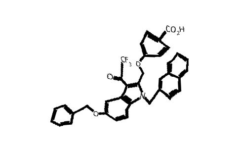 O=C(O)c1ccc(OCc2c(C(=O)C(F)(F)F)c3cc(OCc4ccccc4)ccc3n2Cc2ccc3ccccc3c2)cc1